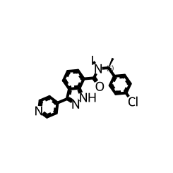 C[C@@H](c1ccc(Cl)cc1)N(I)C(=O)c1cccc2c(-c3ccncc3)n[nH]c12